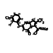 CNC(=O)c1c(C(F)(F)F)sc2nc(Cc3cccc(Cl)c3F)cc(=O)n12